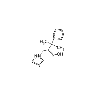 CC(C)(/C(Cn1cncn1)=N\O)c1ccccc1